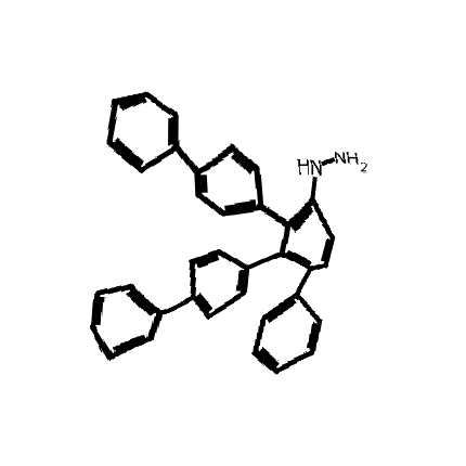 NNc1ccc(-c2ccccc2)c(-c2ccc(-c3ccccc3)cc2)c1-c1ccc(-c2ccccc2)cc1